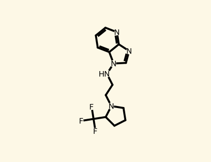 FC(F)(F)C1CCCN1CCNn1cnc2ncccc21